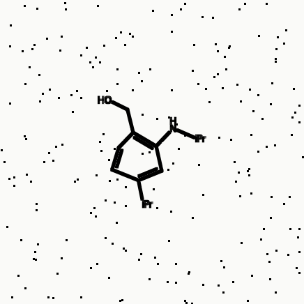 CC(C)Nc1cc(C(C)C)ccc1CO